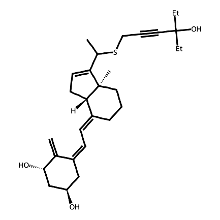 C=C1/C(=C\C=C2/CCC[C@]3(C)C(C(C)SCC#CC(O)(CC)CC)=CC[C@@H]23)C[C@@H](O)C[C@@H]1O